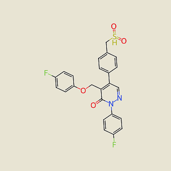 O=c1c(COc2ccc(F)cc2)c(-c2ccc(C[SH](=O)=O)cc2)cnn1-c1ccc(F)cc1